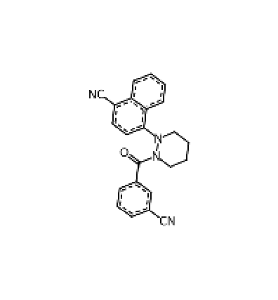 N#Cc1cccc(C(=O)N2CCCCN2c2ccc(C#N)c3ccccc23)c1